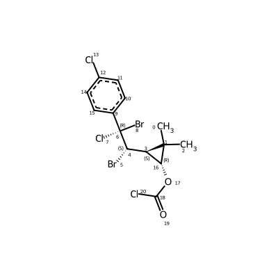 CC1(C)[C@H]([C@H](Br)[C@](Cl)(Br)c2ccc(Cl)cc2)[C@H]1OC(=O)Cl